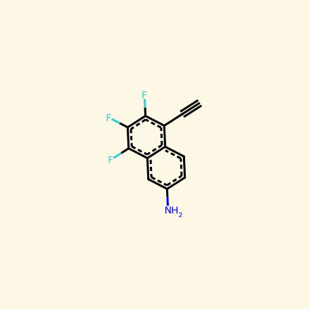 C#Cc1c(F)c(F)c(F)c2cc(N)ccc12